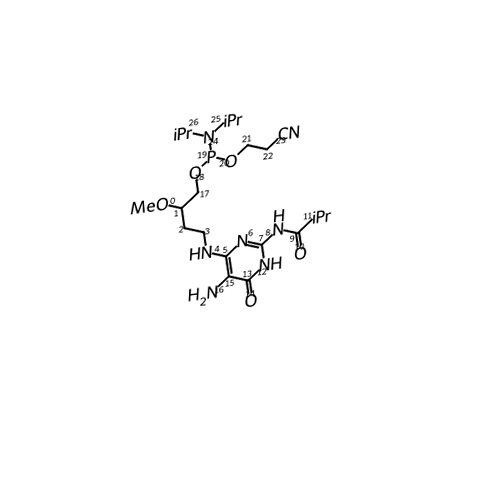 COC(CCNc1nc(NC(=O)C(C)C)[nH]c(=O)c1N)COP(OCCC#N)N(C(C)C)C(C)C